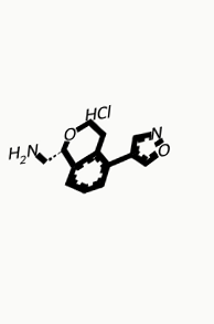 Cl.NC[C@@H]1OCCc2c(-c3cnoc3)cccc21